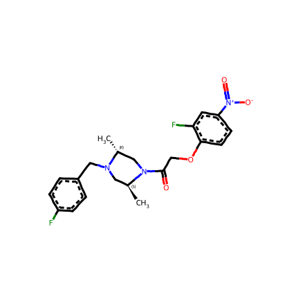 C[C@@H]1CN(C(=O)COc2ccc([N+](=O)[O-])cc2F)[C@@H](C)CN1Cc1ccc(F)cc1